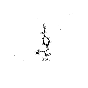 COC(=O)[C@H](Cc1ccc(NC=O)cc1)NC=O